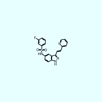 O=S(=O)(Nc1ccc2[nH]nc(C=Cc3ccccn3)c2c1)c1cccc(F)c1